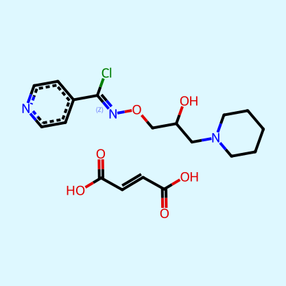 O=C(O)C=CC(=O)O.OC(CO/N=C(\Cl)c1ccncc1)CN1CCCCC1